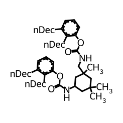 CCCCCCCCCCc1cccc(OC(=O)NCC2(C)CC(NC(=O)Oc3cccc(CCCCCCCCCC)c3CCCCCCCCCC)CC(C)(C)C2)c1CCCCCCCCCC